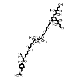 CC(C)(COCCC(=O)NCCCC[C@H](NC=O)C(=O)Nc1ccc(COC(=O)O)cc1)OCC(C)(C)OCCOCCOCCOCCN(CC(O)C(O)C(O)CCO)CC(O)C(O)C(O)CCO